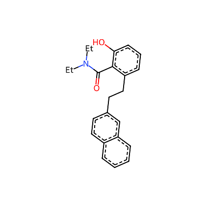 CCN(CC)C(=O)c1c(O)cccc1CCc1ccc2ccccc2c1